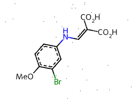 COc1ccc(NC=C(C(=O)O)C(=O)O)cc1Br